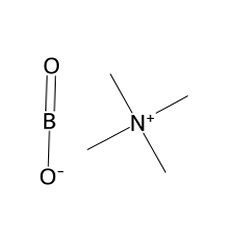 C[N+](C)(C)C.O=B[O-]